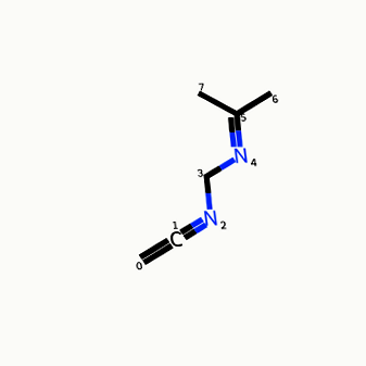 C=C=NCN=C(C)C